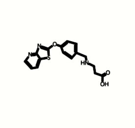 O=C(O)CCNCc1ccc(Oc2nc3ncccc3s2)cc1